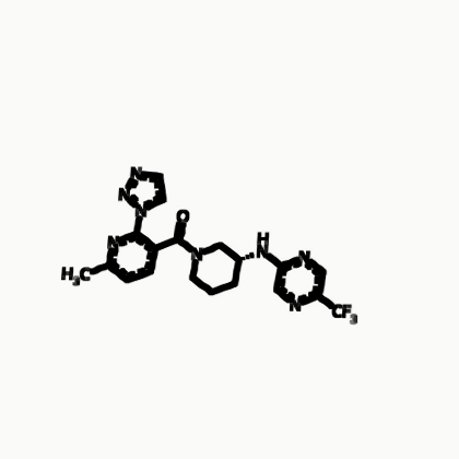 Cc1ccc(C(=O)N2CCC[C@@H](Nc3cnc(C(F)(F)F)cn3)C2)c(-n2ccnn2)n1